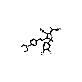 CCN(CC)c1ccc(/C=C/C2=C(C#N)C(=C(\C)C#N)/OC2(C)c2ccc(Cl)c(Cl)c2)cc1